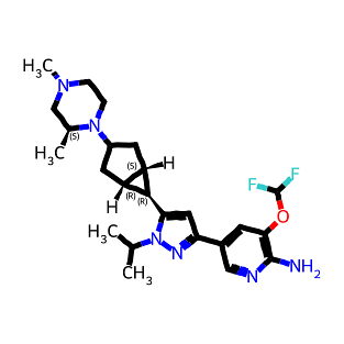 CC(C)n1nc(-c2cnc(N)c(OC(F)F)c2)cc1[C@H]1[C@@H]2CC(N3CCN(C)C[C@@H]3C)C[C@@H]21